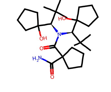 CC(C)(C)[C@@H](N(C(=O)C1(C(N)=O)CCCC1)[C@H](C(C)(C)C)C1(O)CCCC1)C1(O)CCCC1